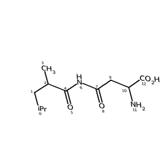 CC(C)CC(C)C(=O)NC(=O)CC(N)C(=O)O